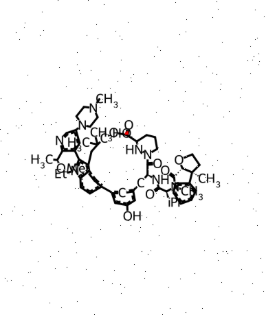 CCn1c(-c2cc(N3CCN(C)CC3)cnc2[C@H](C)OC)c2c3cc(ccc31)-c1cc(O)cc(c1)C[C@H](NC(=O)[C@H](C(C)C)N(C)C(=O)[C@@H]1OCC[C@@]1(C)c1ccccc1)C(=O)N1CCC[C@@](O)(N1)C(=O)OCC(C)(C)C2